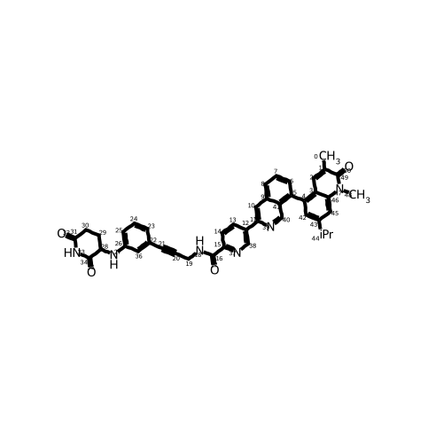 Cc1cc2c(-c3cccc4cc(-c5ccc(C(=O)NCC#Cc6cccc(NC7CCC(=O)NC7=O)c6)nc5)ncc34)cc(C(C)C)cc2n(C)c1=O